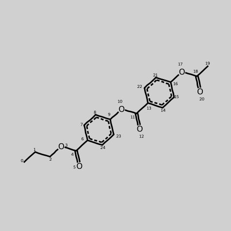 CCCOC(=O)c1ccc(OC(=O)c2ccc(OC(C)=O)cc2)cc1